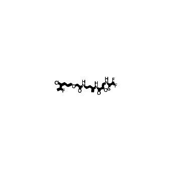 C=C(CCNC(=O)CO/C=C/C=C(/Cl)C(=C)F)NC(=O)C1CNC(C(F)F)SO1